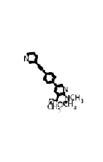 COC(=O)c1cc(-c2ccc(C#Cc3cccnc3)cc2)cnc1N(C)C